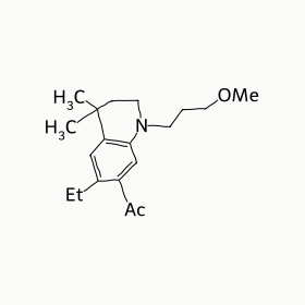 CCc1cc2c(cc1C(C)=O)N(CCCOC)CCC2(C)C